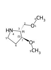 COC[C@H]1NCC[C@@H]1OC